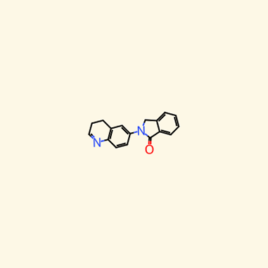 O=C1c2ccccc2CN1c1ccc2c(c1)CCC=N2